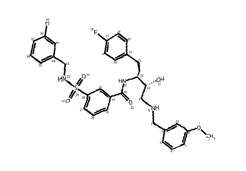 COc1cccc(CNC[C@@H](O)[C@H](Cc2ccc(F)cc2)NC(=O)c2cccc(S(=O)(=O)NCc3cccc(Cl)c3)c2)c1